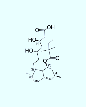 CCC(C)(C)C(=O)O[C@H]1C[C@@H](C)C=C2C=C[C@H](C)[C@H](CCC(O)C[C@@H](O)CC(=O)O)C21